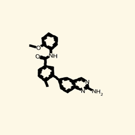 COc1ccccc1NC(=O)c1ccc(C)c(-c2ccc3nc(N)ncc3c2)c1